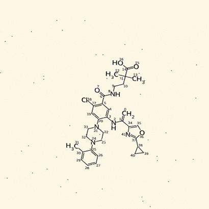 C=C(Nc1cc(C(=O)NCCC(C)(C)C(=O)O)c(Cl)cc1N1CCN(c2ccccc2C)CC1)c1coc(C2CC2)n1